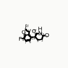 O=C1CCC(c2ccc(F)c3oc(I)cc23)C(=O)N1